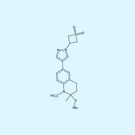 CCCCOC1(C)CCc2cc(-c3cnn(C4CS(=O)(=O)C4)c3)ccc2N1C(=O)O